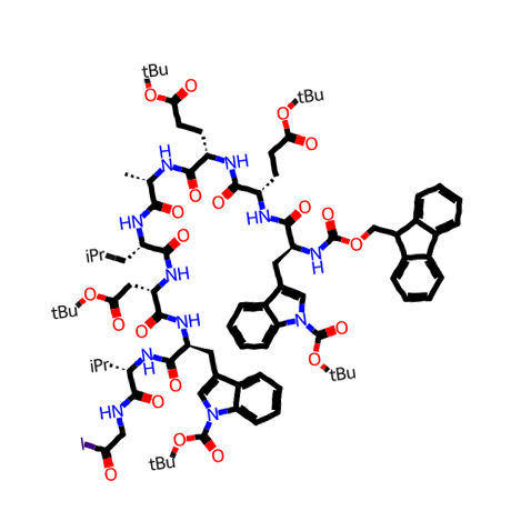 CC(C)C[C@H](NC(=O)[C@H](C)NC(=O)[C@H](CCC(=O)OC(C)(C)C)NC(=O)[C@H](CCC(=O)OC(C)(C)C)NC(=O)[C@H](Cc1cn(C(=O)OC(C)(C)C)c2ccccc12)NC(=O)OCC1c2ccccc2-c2ccccc21)C(=O)N[C@@H](CC(=O)OC(C)(C)C)C(=O)N[C@@H](Cc1cn(C(=O)OC(C)(C)C)c2ccccc12)C(=O)N[C@H](C(=O)NCC(=O)I)C(C)C